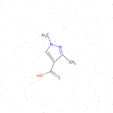 Cc1nn(C)cc1C(O)=S